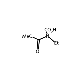 CCN(C(=O)O)C(=O)OC